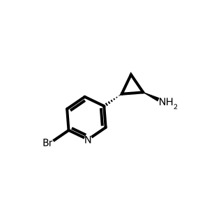 N[C@@H]1C[C@H]1c1ccc(Br)nc1